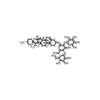 C[C@@H]1CC[C@@]2(OC1)O[C@H]1C[C@H]3[C@@H]4CC=C5CC(O[C@@H]6OC(CO)[C@@H](O[C@@H]7OC(CO)[C@@H](O)C(O)[C@@H]7O)C(O)[C@@H]6O[C@@H]6OC(O)[C@H](O)C(O)[C@@H]6O)CC[C@]5(C)[C@H]4CC[C@]3(C)[C@H]1[C@@H]2C